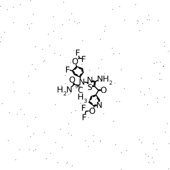 C[C@H](C(N)=O)N(c1ccc(OC(F)F)c(F)c1)c1nc(N)c(C(=O)c2ccc(OC(F)F)nc2)s1